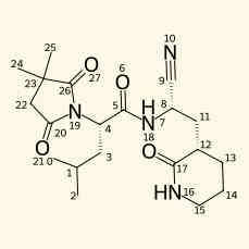 CC(C)C[C@@H](C(=O)N[C@H](C#N)C[C@@H]1CCCNC1=O)N1C(=O)CC(C)(C)C1=O